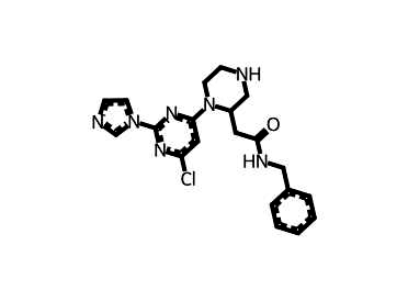 O=C(CC1CNCCN1c1cc(Cl)nc(-n2ccnc2)n1)NCc1ccccc1